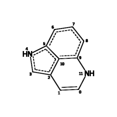 C1=Cc2c[nH]c3cccc(c23)N1